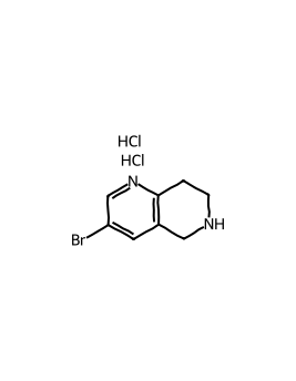 Brc1cnc2c(c1)CNCC2.Cl.Cl